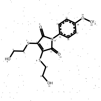 O=C1C(SCCO)=C(SCCO)C(=O)N1c1ccc(OC(F)(F)F)cc1